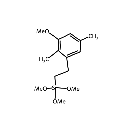 COc1cc(C)cc(CC[Si](OC)(OC)OC)c1C